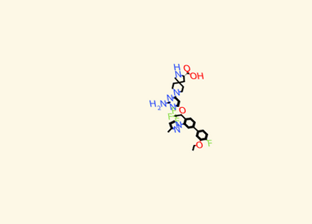 CCOc1cc(-c2ccc([C@@H](Oc3cc(N4CCC5(CC4)CN[C@H](C(=O)O)C5)nc(N)n3)C(F)(F)F)c(-n3ccc(C)n3)c2)ccc1F